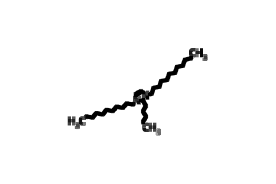 CCCCCCCCCCCCN1C=CN(CCCCCCCCCCC)C1CCCCC